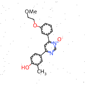 COCCOc1cccc(-c2cc(-c3ccc(O)c(C)c3)nc[n+]2[O-])c1